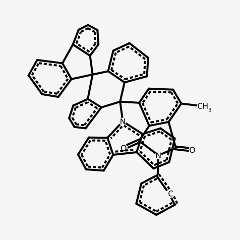 Cc1ccc(C2(n3c4ccccc4c4ccccc43)c3ccccc3C3(c4ccccc4-c4ccccc43)c3ccccc32)c2c1C(=O)N(c1ccccc1)C2=O